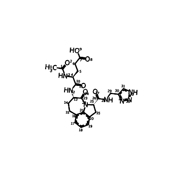 CC(=O)N[C@@H](CCC(=O)O)C(=O)N[C@H]1CCc2cccc3c2N(C1=O)[C@H](C(=O)NCc1c[nH]nn1)C3